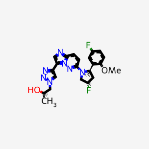 COc1ccc(F)cc1[C@H]1C[C@H](F)CN1c1ccc2ncc(-c3cn(C[C@@H](C)O)nn3)n2n1